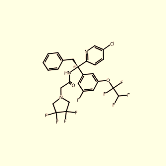 O=C(CN1CC(F)(F)C(F)(F)C1)N[C@@](Cc1ccccc1)(c1cc(F)cc(OC(F)(F)C(F)F)c1)c1ccc(Cl)cn1